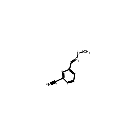 CON=Cc1cccc(C#N)c1